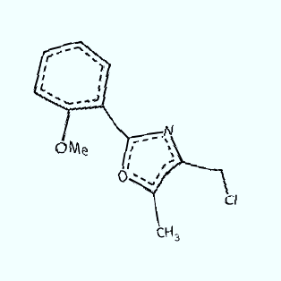 COc1ccccc1-c1nc(CCl)c(C)o1